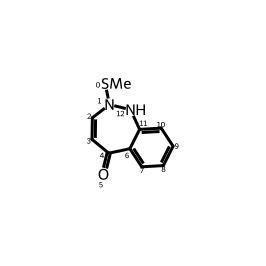 CSN1C=CC(=O)c2ccccc2N1